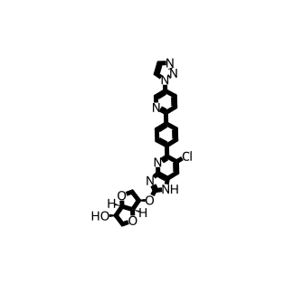 O[C@@H]1CO[C@H]2[C@@H]1OC[C@H]2Oc1nc2nc(-c3ccc(-c4ccc(-n5ccnn5)cn4)cc3)c(Cl)cc2[nH]1